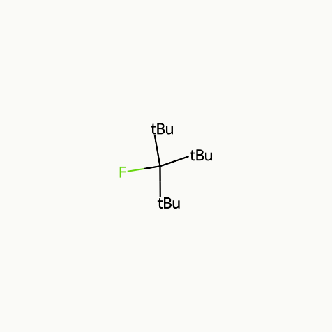 CC(C)(C)C(F)(C(C)(C)C)C(C)(C)C